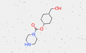 O=C(OC1CCC(CO)CC1)N1CCNCC1